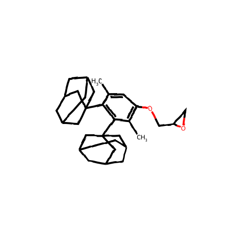 Cc1cc(OCC2CO2)c(C)c(C23CC4CC(CC(C4)C2)C3)c1C12CC3CC(CC(C3)C1)C2